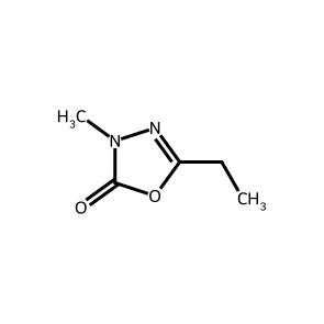 CCc1nn(C)c(=O)o1